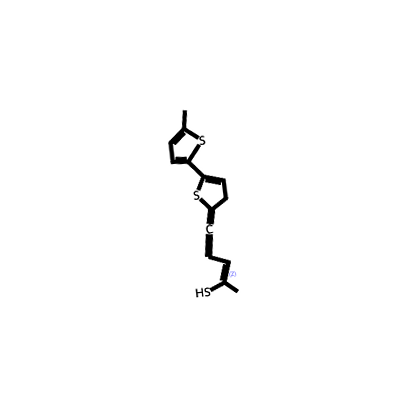 C/C(S)=C/C=C=C1CC=C(c2ccc(C)s2)S1